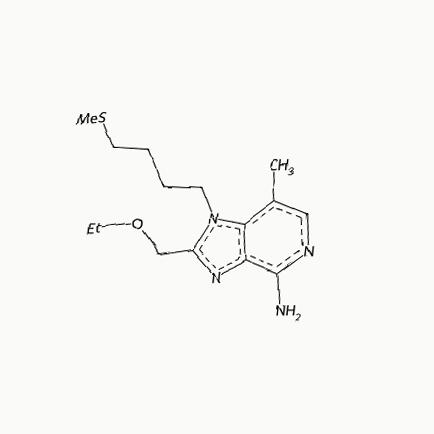 CCOCc1nc2c(N)ncc(C)c2n1CCCCSC